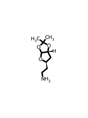 CC1(C)OC2O[C@H](CCN)C[C@H]2O1